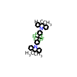 CC1(C)c2ccccc2N(c2ccc(C(c3ccc(N4c5ccccc5C(C)(C)c5ccccc54)cc3)(C(F)(F)F)C(F)(F)F)cc2)c2ccccc21